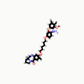 COc1cc(Oc2cc(OCCCCCCOc3cc4c(cc3C)C(=O)N3CCC[C@H]3C=N4)ccc2N)cc(C)c1C